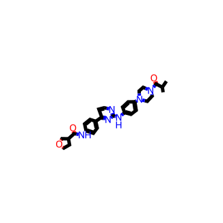 CC(C)C(=O)N1CCN(c2ccc(Nc3nccc(-c4ccc(NC(=O)C5CCOC5)cc4)n3)cc2)CC1